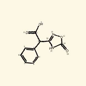 O=C(O)C(c1ccccc1)c1noc(=O)[nH]1